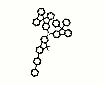 CC1(C)c2cc(-c3ccc(-c4ccccc4)cc3)ccc2-c2ccc(N(c3ccc4c(c3)-c3ccccc3C43c4ccccc4-c4ccccc43)c3ccc4c(c3)C(c3ccccc3)(c3ccccc3)c3ccccc3-4)cc21